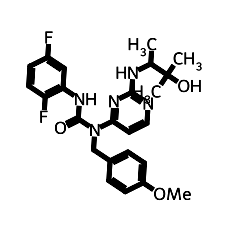 COc1ccc(CN(C(=O)Nc2cc(F)ccc2F)c2ccnc(NC(C)C(C)(C)O)n2)cc1